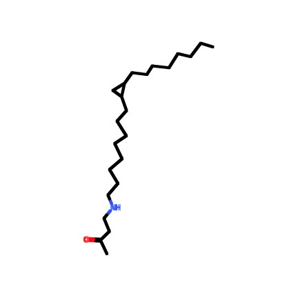 CCCCCCCCC1CC1CCCCCCCCNCCC(C)=O